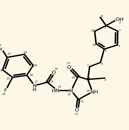 CC1(O)C=CC(CCC2(C)NC(=O)N(NC(=O)Nc3ccc(Br)cc3F)C2=O)=CC1